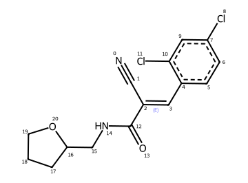 N#C/C(=C\c1ccc(Cl)cc1Cl)C(=O)NCC1CCCO1